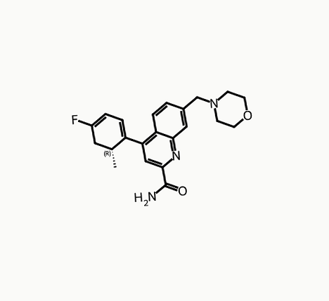 C[C@@H]1CC(F)=CC=C1c1cc(C(N)=O)nc2cc(CN3CCOCC3)ccc12